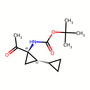 CC(=O)[C@@]1(NC(=O)OC(C)(C)C)C[C@H]1C1CC1